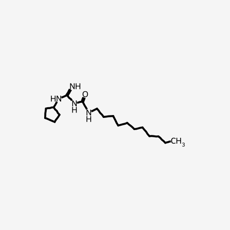 CCCCCCCCCCCNC(=O)NC(=N)NC1CCCC1